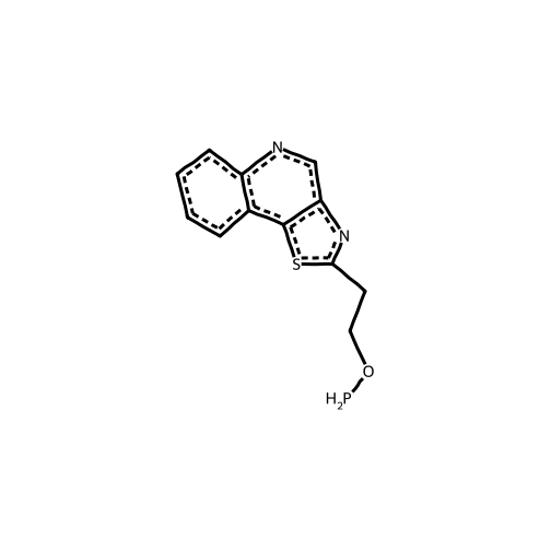 POCCc1nc2cnc3ccccc3c2s1